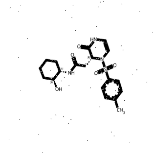 Cc1ccc(S(=O)(=O)N2C=CNC(=O)[C@H]2CC(=O)N[C@H]2CCCC[C@@H]2O)cc1